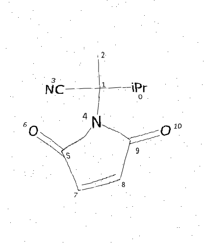 CC(C)C(C)(C#N)N1C(=O)C=CC1=O